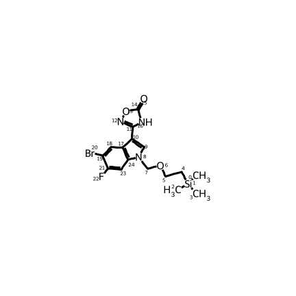 C[Si](C)(C)CCOCn1cc(-c2noc(=O)[nH]2)c2cc(Br)c(F)cc21